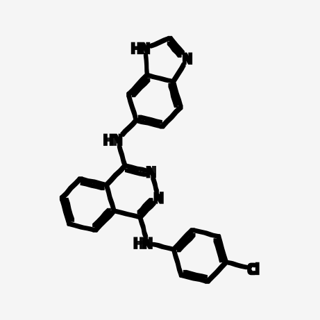 Clc1ccc(Nc2nnc(Nc3ccc4nc[nH]c4c3)c3ccccc23)cc1